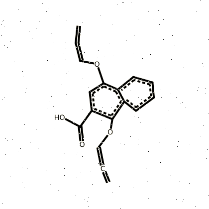 C=C=COc1cc(C(=O)O)c(OC=C=C)c2ccccc12